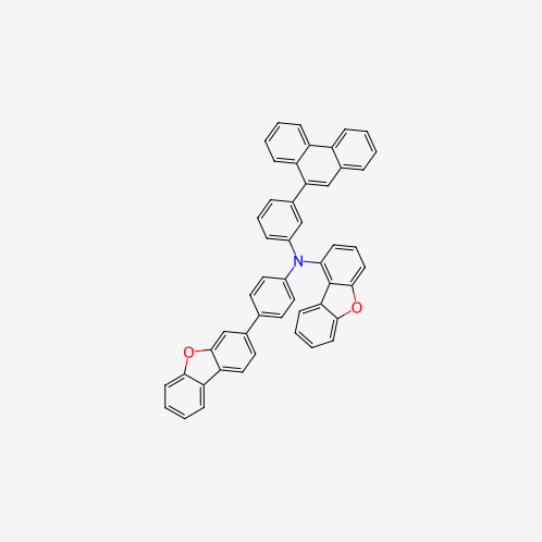 c1cc(-c2cc3ccccc3c3ccccc23)cc(N(c2ccc(-c3ccc4c(c3)oc3ccccc34)cc2)c2cccc3oc4ccccc4c23)c1